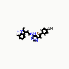 Cc1[nH]c2c(C)cccc2c1CCNc1ncnc2cc(-c3ccc(C#N)cc3)sc12